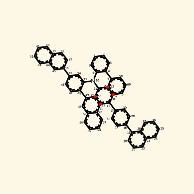 c1ccc(-c2ccccc2N(c2ccc(-c3ccc(-c4cccc5ccccc45)cc3)cc2)c2cc(-c3ccc4ccccc4c3)ccc2-c2ccc3ccccc3c2)cc1